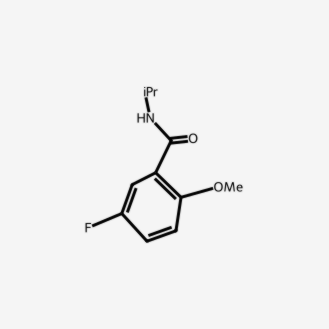 COc1ccc(F)cc1C(=O)N[13CH]([13CH3])[13CH3]